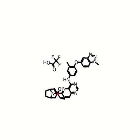 C=CC(=O)N1C2C=C(c3ccc4ncnc(Nc5ccc(Oc6ccc7c(c6)nnn7C)c(C)c5)c4n3)CC1CC2.O=C(O)C(F)(F)F